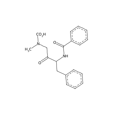 CN(CC(=O)C(Cc1ccccc1)NC(=O)c1ccccc1)C(=O)O